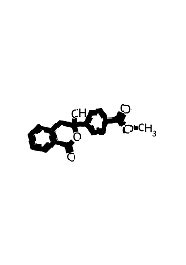 COC(=O)c1ccc(C2(C)Cc3ccccc3C(=O)O2)cc1